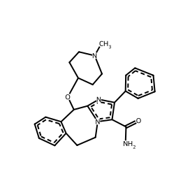 CN1CCC(OC2c3ccccc3CCn3c2nc(-c2ccccc2)c3C(N)=O)CC1